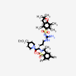 CCOC(=O)C1CCN(C(=O)[C@H](CCCN/C(N)=N/S(=O)(=O)c2c(C)c(C)c3c(c2C)CC(C)(C)O3)N2C(C)c3cc(C(C)C)cc(C(C)C)c3S2(=O)=O)CC1